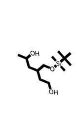 CC(O)CC(CCO)CO[Si](C)(C)C(C)(C)C